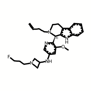 C=CCCN1CCc2c([nH]c3ccccc23)[C@H]1c1ncc(NC2CN(CCCF)C2)cc1OC